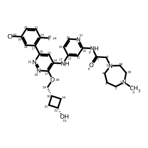 CN1CCCN(CC(=O)Nc2cc(Nc3cc(-c4cc(Cl)ccc4F)nnc3OC[C@H]3C[C@@H](O)C3)ccn2)CC1